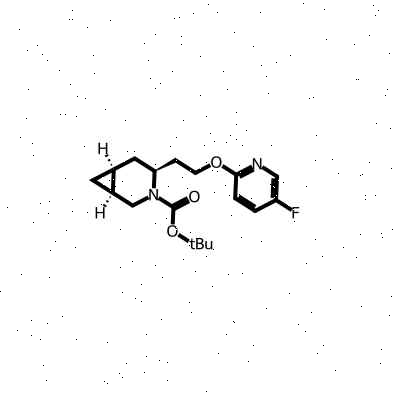 CC(C)(C)OC(=O)N1C[C@H]2C[C@H]2C[C@H]1CCOc1ccc(F)cn1